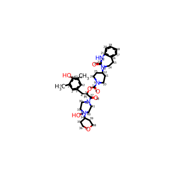 Cc1cc(C[C@@H](OC(=O)N2CCC(N3CCc4ccccc4NC3=O)CC2)C(=O)N2CC[N+](O)(C3CCOCC3)CC2)cc(C)c1O